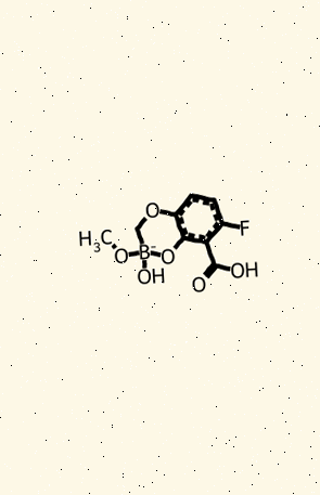 CO[B-]1(O)COc2ccc(F)c(C(=O)O)c2O1